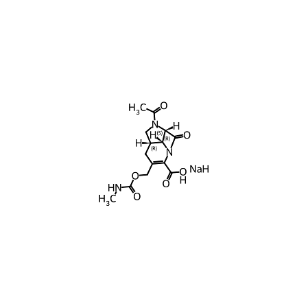 CNC(=O)OCC1=C(C(=O)O)N2C(=O)[C@@H]3[C@H]2[C@H](C1)CN3C(C)=O.[NaH]